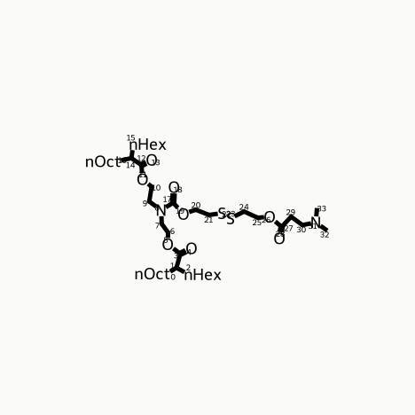 CCCCCCCCC(CCCCCC)C(=O)OCCN(CCOC(=O)C(CCCCCC)CCCCCCCC)C(=O)OCCSSCCOC(=O)CCN(C)C